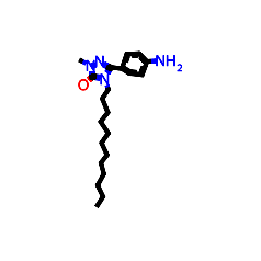 CCCCCCCCCCCCn1c(-c2ccc(N)cc2)nn(C)c1=O